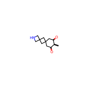 C=C1C(=O)CC2(CC1=O)CC1(CNC1)C2